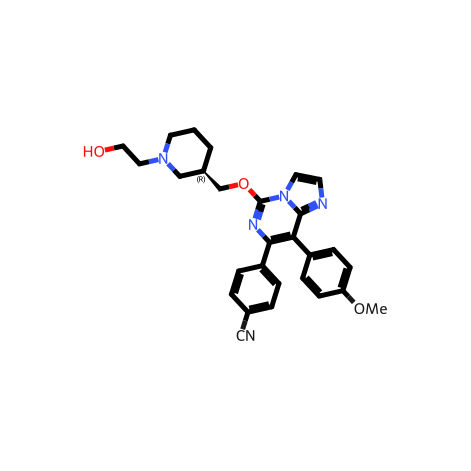 COc1ccc(-c2c(-c3ccc(C#N)cc3)nc(OC[C@@H]3CCCN(CCO)C3)n3ccnc23)cc1